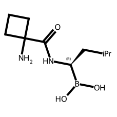 CC(C)C[C@H](NC(=O)C1(N)CCC1)B(O)O